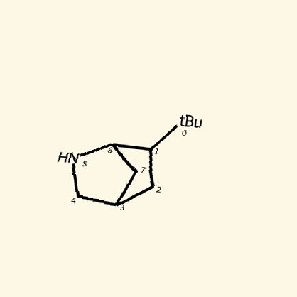 CC(C)(C)C1CC2CNC1C2